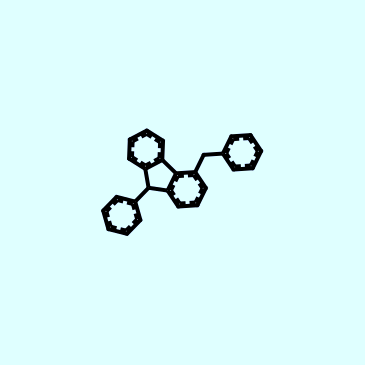 c1ccc(Cc2cccc3c2-c2ccccc2C3c2ccccc2)cc1